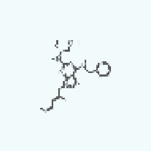 C/C=C\C=C(/C)Cn1cnc2c(N(C)Cc3ccccc3)nc(N[C@H](CC)CO)nc21